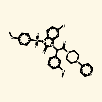 COc1ccc(S(=O)(=O)n2c(=O)n(C(C(=O)N3CCN(c4ccncc4)CC3)c3cccc(OC)c3)c3cc(Cl)ccc32)cc1